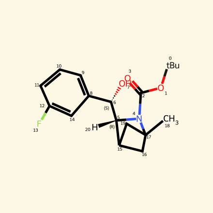 CC(C)(C)OC(=O)N1[C@@H]([C@@H](O)c2cccc(F)c2)C2CC1(C)C2